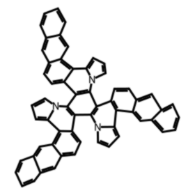 c1ccc2cc3c(ccc4c3c3cccn3c3c5c6ccc7cc8ccccc8cc7c6c6cccn6c5c5c6ccc7cc8ccccc8cc7c6c6cccn6c5c43)cc2c1